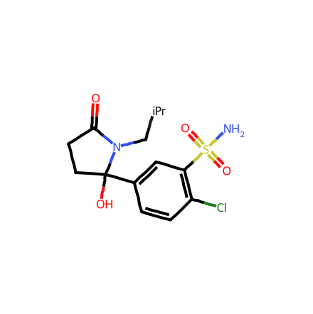 CC(C)CN1C(=O)CCC1(O)c1ccc(Cl)c(S(N)(=O)=O)c1